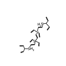 C=CC(C=C)[SiH2]C=C[Si](C=C)(C=C)C=C[Si](C=C)(C=C)C=C[SiH2]C(C=C)C=C